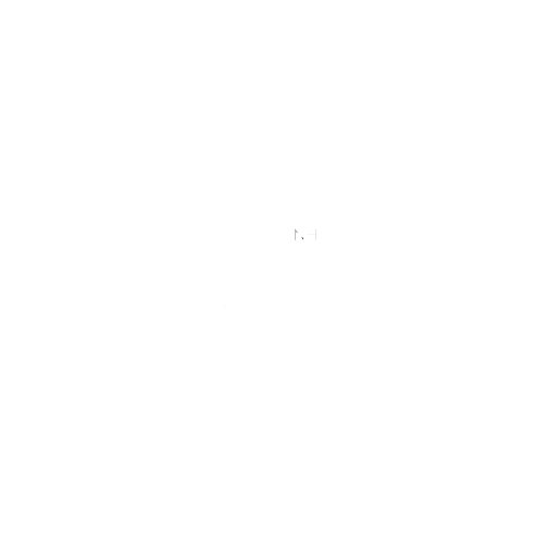 NCc1[c]scc1